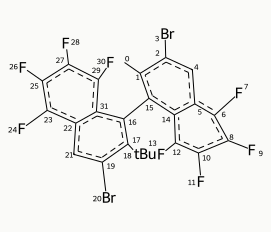 Cc1c(Br)cc2c(F)c(F)c(F)c(F)c2c1-c1c(C(C)(C)C)c(Br)cc2c(F)c(F)c(F)c(F)c12